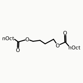 CCCCCCCCC(=O)OCCCCOC(=O)CCCCCCCC